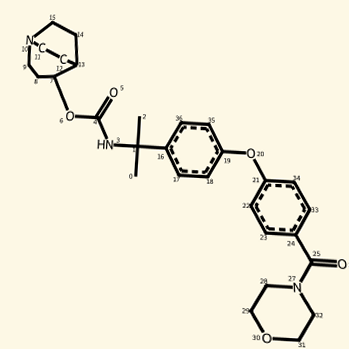 CC(C)(NC(=O)OC1CCN2CCC1CC2)c1ccc(Oc2ccc(C(=O)N3CCOCC3)cc2)cc1